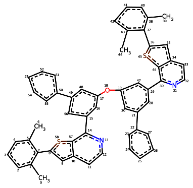 Cc1cccc(C)c1-c1cc2ccnc(-c3cc(Oc4cc(-c5ccccc5)cc(-c5nccc6cc(-c7c(C)cccc7C)sc56)c4)cc(-c4ccccc4)c3)c2s1